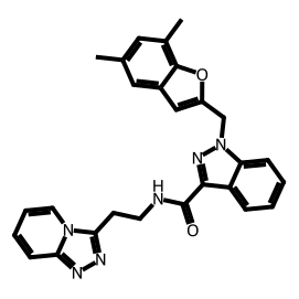 Cc1cc(C)c2oc(Cn3nc(C(=O)NCCc4nnc5ccccn45)c4ccccc43)cc2c1